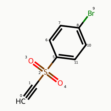 C#CS(=O)(=O)c1ccc(Br)cc1